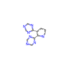 c1cnc(-c2ncncn2)c(-c2ncncn2)c1